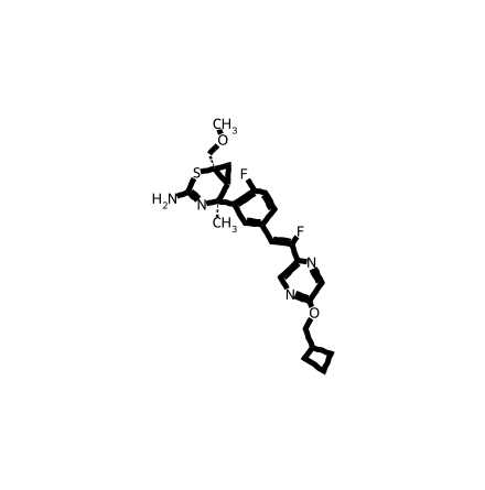 COC[C@]12CC1[C@@](C)(c1cc(/C=C(\F)c3cnc(OCC4CCC4)cn3)ccc1F)N=C(N)S2